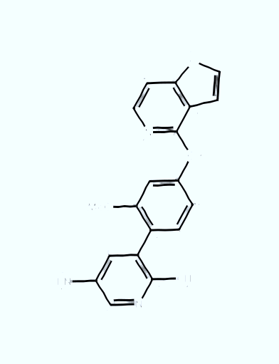 COc1cc(Oc2nccc3occc23)ccc1-c1cc(N)cnc1C